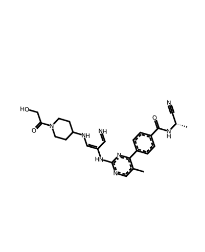 Cc1cnc(N/C(C=N)=C/NC2CCN(C(=O)CO)CC2)nc1-c1ccc(C(=O)N[C@@H](C)C#N)cc1